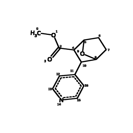 COC(=O)C1C2CCC(O2)C1c1ccncc1